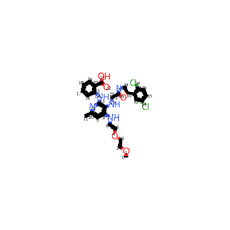 COCCOCCNc1cc(C)nc(Nc2ccccc2C(=O)O)c1NCc1ncc(-c2cc(Cl)ccc2Cl)o1